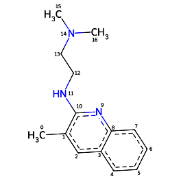 Cc1cc2ccccc2nc1NCCN(C)C